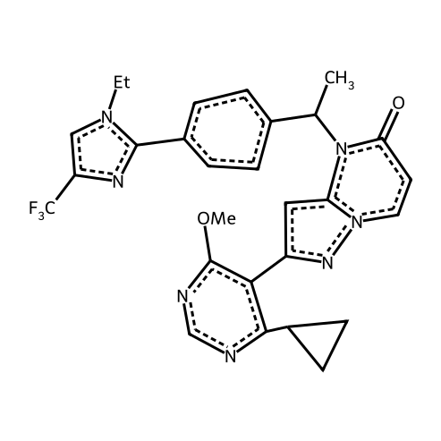 CCn1cc(C(F)(F)F)nc1-c1ccc(C(C)n2c(=O)ccn3nc(-c4c(OC)ncnc4C4CC4)cc23)cc1